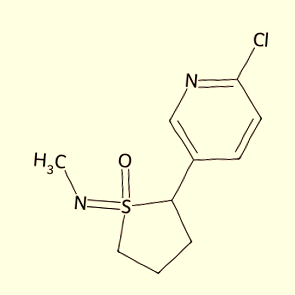 CN=S1(=O)CCCC1c1ccc(Cl)nc1